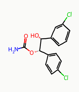 NC(=O)O[C@@H](c1ccc(Cl)cc1)[C@H](O)c1cccc(Cl)c1